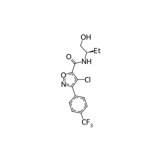 CC[C@H](CO)NC(=O)c1onc(-c2ccc(C(F)(F)F)cc2)c1Cl